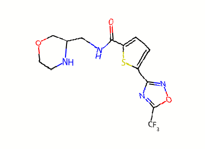 O=C(NCC1COCCN1)c1ccc(-c2noc(C(F)(F)F)n2)s1